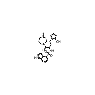 N#Cc1cccn1CCC(NS(=O)(=O)c1cccc2[nH]ccc12)C(=O)N1CCCNCC1